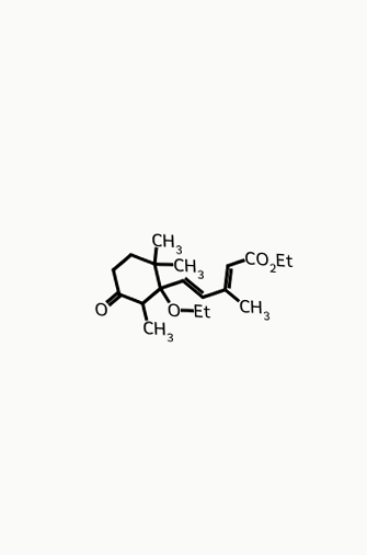 CCOC(=O)C=C(C)C=CC1(OCC)C(C)C(=O)CCC1(C)C